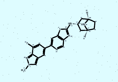 Cn1cc2cc(-c3cc4sc(N[C@@H]5C[C@H]6CC[C@@H](C5)N6)nc4cn3)cc(F)c2n1